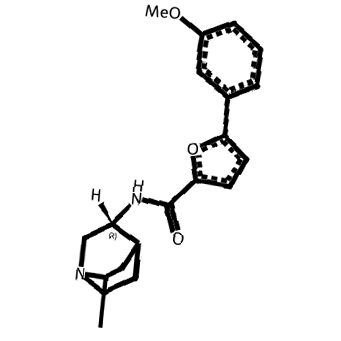 COc1cccc(-c2ccc(C(=O)N[C@H]3CN4CCC3CC4C)o2)c1